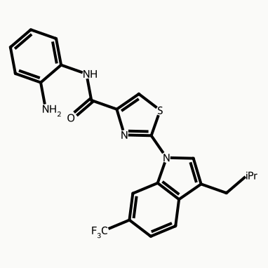 CC(C)Cc1cn(-c2nc(C(=O)Nc3ccccc3N)cs2)c2cc(C(F)(F)F)ccc12